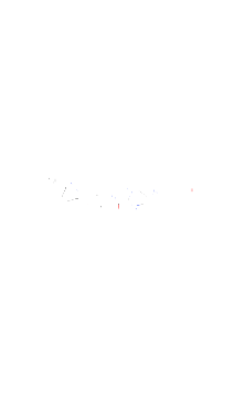 CC1(C)C(NC(=O)c2ncc(N3CCC(CO)CC3)cn2)C(C)(C)C1Oc1cnc(C#N)c(Cl)c1